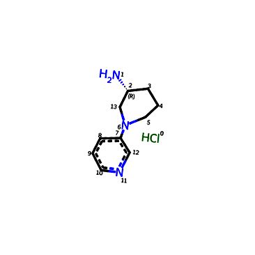 Cl.N[C@@H]1CCCN(c2cccnc2)C1